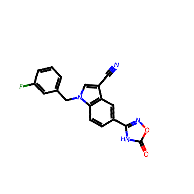 N#Cc1cn(Cc2cccc(F)c2)c2ccc(-c3noc(=O)[nH]3)cc12